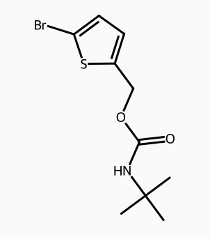 CC(C)(C)NC(=O)OCc1ccc(Br)s1